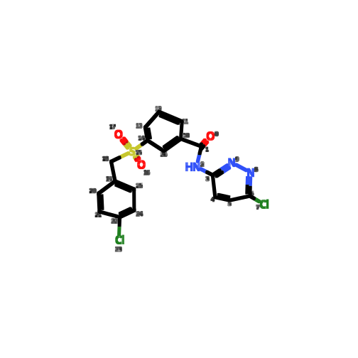 O=C(Nc1ccc(Cl)nn1)c1cccc(S(=O)(=O)Cc2ccc(Cl)cc2)c1